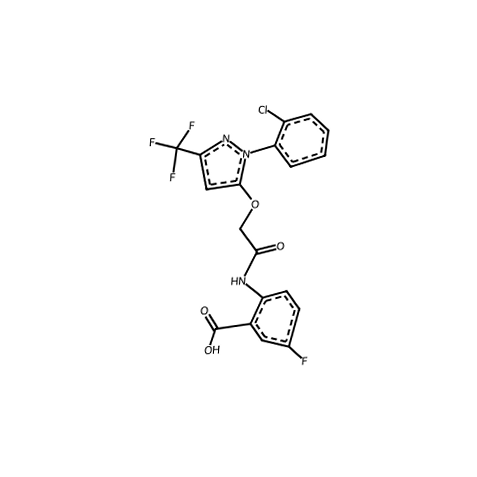 O=C(COc1cc(C(F)(F)F)nn1-c1ccccc1Cl)Nc1ccc(F)cc1C(=O)O